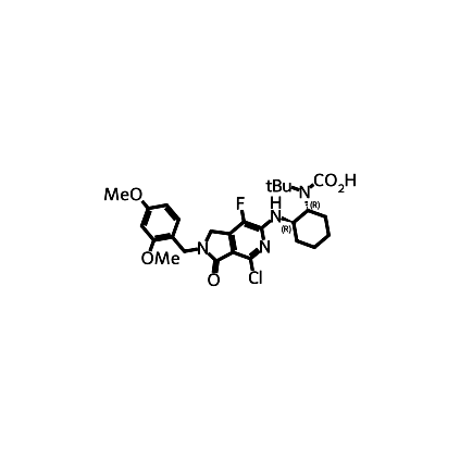 COc1ccc(CN2Cc3c(F)c(N[C@@H]4CCCC[C@H]4N(C(=O)O)C(C)(C)C)nc(Cl)c3C2=O)c(OC)c1